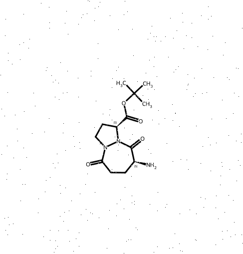 CC(C)(C)OC(=O)[C@@H]1CCN2C(=O)CC[C@H](N)C(=O)N12